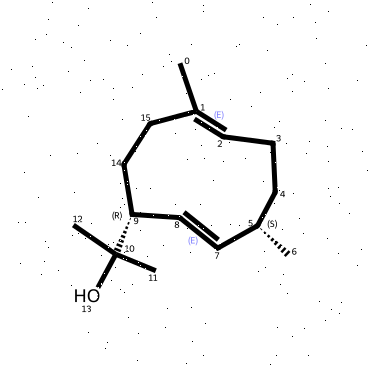 C/C1=C\CC[C@H](C)/C=C/[C@H](C(C)(C)O)CC1